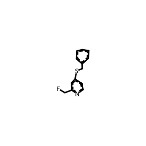 FCc1cc(SCc2ccccc2)ccn1